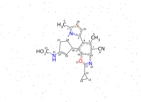 Cc1nc(-c2c(C)c(C#N)c3nc(C4CC4)oc3c2C2C=C(NC(=O)O)CC2)cs1